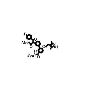 CNC(=O)C1c2cc(-c3cc(C(=O)NCC(C)C)ccc3OCCc3c(C)n[nH]c3C)ccc2OC1c1ccc(F)cc1